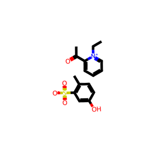 CC[n+]1ccccc1C(C)=O.Cc1ccc(O)cc1S(=O)(=O)[O-]